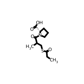 CCC(=O)SCC(C)C(=O)N1CCC[C@H]1C(=O)O